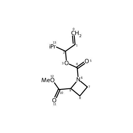 C=CC(OC(=O)N1CCC1C(=O)OC)C(C)C